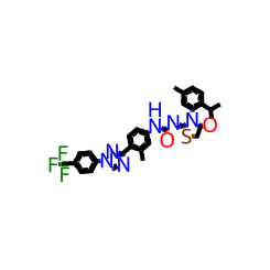 Cc1ccc(C(C)C)c(N2C(=O)CS/C2=N\C(=O)Nc2ccc(-c3ncn(-c4ccc(C(F)(F)F)cc4)n3)c(C)c2)c1